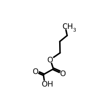 CCCCOC(=O)C(=O)O